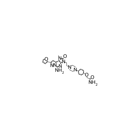 Cn1c(=O)n(CCN2CCN(c3ccc(OCC(N)=O)cc3)CC2)c2nc(N)n3nc(-c4ccco4)cc3c21